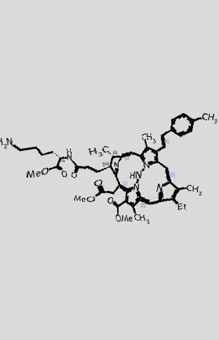 CCC1=C(C)/C2=C/c3c(/C=C/c4ccc(C)cc4)c(C)c4n3Nn3/c(c(C)c(C(=O)OC)/c3=C(\CC(=O)OC)C3=N/C(=C\4)[C@@H](C)[C@@H]3CCC(=O)N[C@@H](CCCCN)C(=O)OC)=C\C1=N2